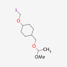 COC(C)OCC1CCC(OCI)CC1